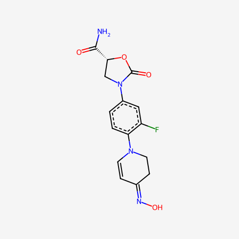 NC(=O)[C@H]1CN(c2ccc(N3C=C/C(=N/O)CC3)c(F)c2)C(=O)O1